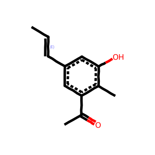 C/C=C/c1cc(O)c(C)c(C(C)=O)c1